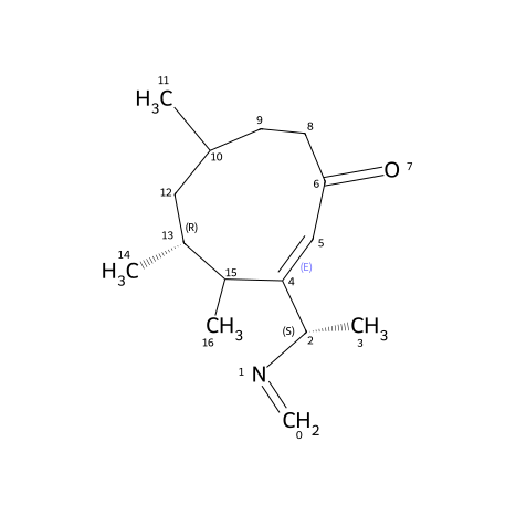 C=N[C@@H](C)/C1=C/C(=O)CCC(C)C[C@@H](C)C1C